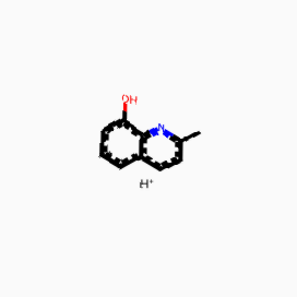 Cc1ccc2cccc(O)c2n1.[H+]